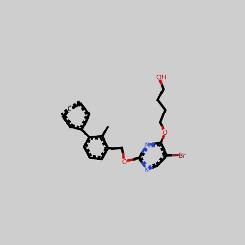 Cc1c(COc2ncc(Br)c(OCCCCO)n2)cccc1-c1ccccc1